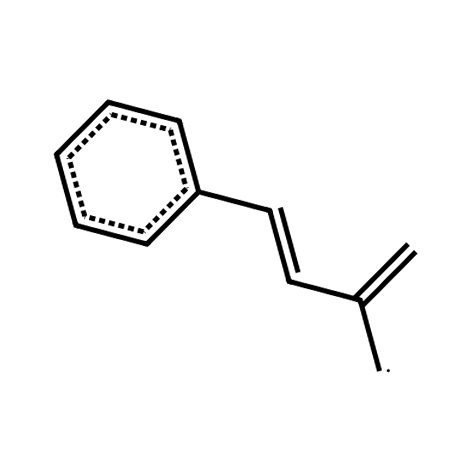 [CH2]C(=C)C=Cc1ccccc1